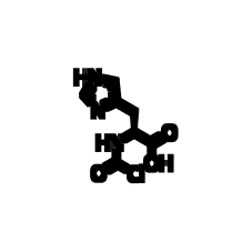 O=C(Cl)N[C@@H](Cc1c[nH]cn1)C(=O)O